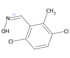 Cc1c(Cl)ccc(Cl)c1/C=N\O